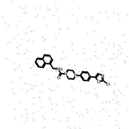 CCc1ncc(-c2ccc(N3CCN(C(=O)NCc4cccc5ccccc45)CC3)cc2)o1